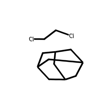 C1C2CC3CC1CC(C2)C3.ClCCCl